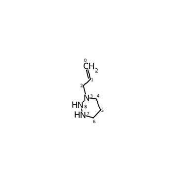 C=CCN1CCCNN1